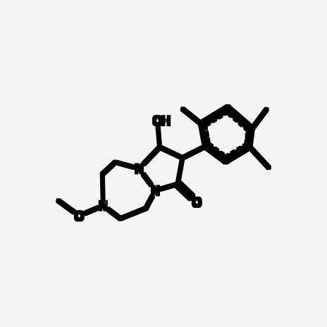 CON1CCN2C(=O)C(c3cc(C)c(C)cc3C)C(O)N2CC1